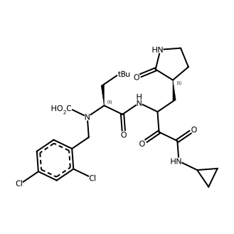 CC(C)(C)C[C@@H](C(=O)NC(C[C@@H]1CCNC1=O)C(=O)C(=O)NC1CC1)N(Cc1ccc(Cl)cc1Cl)C(=O)O